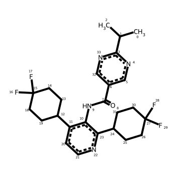 CC(C)c1ncc(C(=O)Nc2c(C3CCC(F)(F)CC3)ccnc2C2CCC(F)(F)CC2)cn1